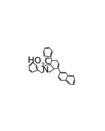 O=C(O)C12CN(Cc3ccccc3)CC1C(c1ccc3ccccc3c1)=CCC2c1ccccc1